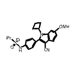 COc1ccc2c(C#N)c(-c3ccc(NS(=O)(=O)C(C)C)cc3)n(C3CCC3)c2c1